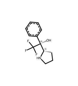 O[C@](c1ccccc1)([C@@H]1CCCN1)C(F)(F)F